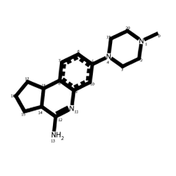 CN1CCN(c2ccc3c(c2)N=C(N)C2CCCC32)CC1